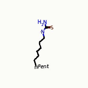 CCCCCCCCCCC[N]C(N)=S